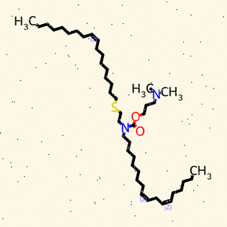 CCCCC/C=C\C/C=C\CCCCCCCCN(CCSCCCCCCCC/C=C\CCCCCCCC)C(=O)OCCCN(C)C